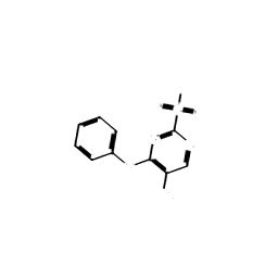 CS(=O)(=O)c1ncc(C#N)c(Nc2ccccc2)n1